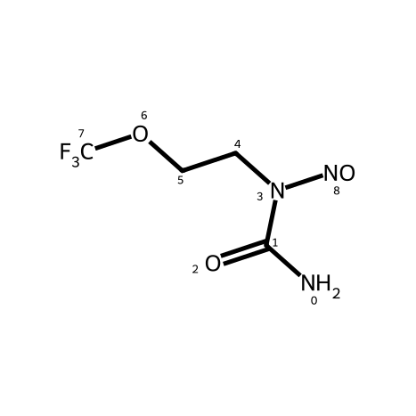 NC(=O)N(CCOC(F)(F)F)N=O